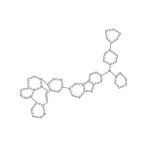 C1=C2/Cc3c(ccc4cccc(c34)-c3ccccc3/1)-c1ccc(-c3ccc4sc5cc(N(c6ccccc6)c6ccc(-c7ccccc7)cc6)ccc5c4c3)cc12